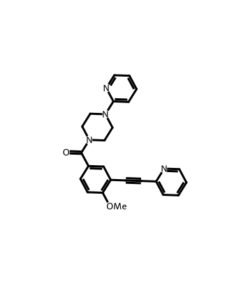 COc1ccc(C(=O)N2CCN(c3ccccn3)CC2)cc1C#Cc1ccccn1